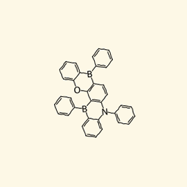 c1ccc(B2c3ccccc3Oc3c2ccc2c3B(c3ccccc3)c3ccccc3N2c2ccccc2)cc1